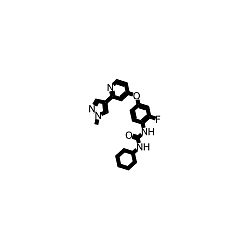 Cn1cc(-c2cc(Oc3ccc(NC(=O)NC4CCCCC4)c(F)c3)ccn2)cn1